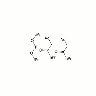 CC(C)[O][Ti][O]C(C)C.CCCC(=O)CC(C)=O.CCCC(=O)CC(C)=O